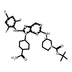 CC(C)(C)OC(=O)N1CCC[C@@H](Nc2ncc3nc(Nc4c(F)cc(F)cc4F)n(C4CCC(C(N)=O)CC4)c3n2)C1